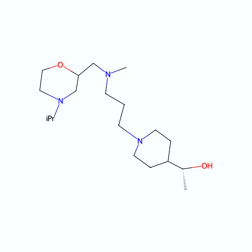 CC(C)N1CCOC(CN(C)CCCN2CCC([C@@H](C)O)CC2)C1